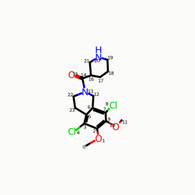 COc1c(Cl)c2c(c(Cl)c1OC)CN(C(=O)C1CCCNC1)CC2